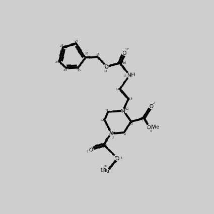 COC(=O)C1CN(C(=O)OC(C)(C)C)CCN1CCNC(=O)OCc1ccccc1